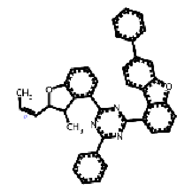 C/C=C\C1Oc2cccc(-c3nc(-c4ccccc4)nc(-c4cccc5oc6cc(-c7ccccc7)ccc6c45)n3)c2C1C